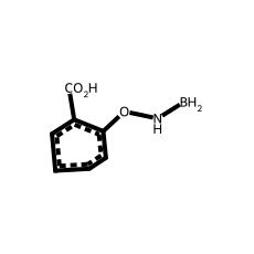 BNOc1ccccc1C(=O)O